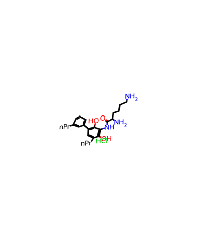 CCCc1cccc(-c2cc(CCC)c(O)c(NC(=O)C(N)CCCCN)c2O)c1.Cl